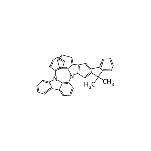 CC1(C)c2ccccc2-c2cc3c4ccccc4n(-c4cccc5c6ccccc6n(-c6ccccc6)c45)c3cc21